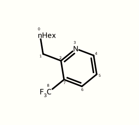 CCCCCCCc1ncccc1C(F)(F)F